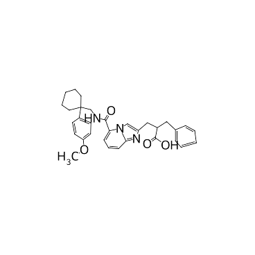 COc1ccc(C2(CNC(=O)c3cccc4nc(CC(Cc5ccccc5)C(=O)O)cn34)CCCCC2)cc1